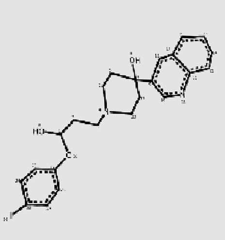 OC(CCN1CCC(O)(c2cnc3ccccc3c2)CC1)Oc1ccc(I)cc1